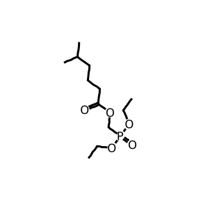 CCOP(=O)(COC(=O)CCCC(C)C)OCC